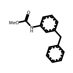 [CH2]OC(=O)Nc1cccc(Cc2ccccc2)c1